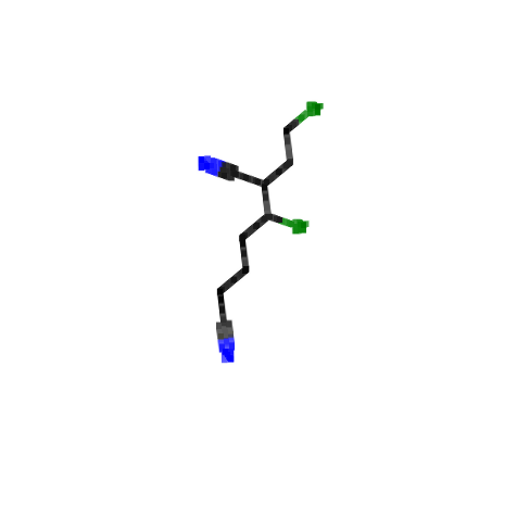 N#CCCCC(Br)C(C#N)CCBr